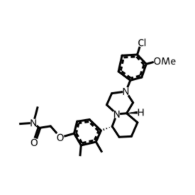 COc1cc(N2CCN3[C@@H](CCC[C@@H]3c3ccc(OCC(=O)N(C)C)c(C)c3C)C2)ccc1Cl